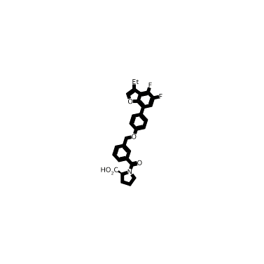 CCc1coc2c(-c3ccc(OCc4cccc(C(=O)N5CCC[C@H]5C(=O)O)c4)cc3)cc(F)c(F)c12